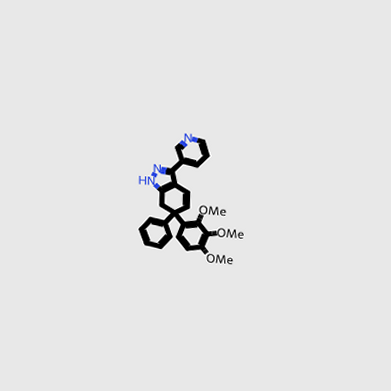 COc1ccc(C2(c3ccccc3)C=Cc3c(-c4cccnc4)n[nH]c3C2)c(OC)c1OC